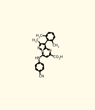 Cc1cccc(C)c1-c1c(C)nn2c(Nc3ccc(C#N)cc3)cc(C(=O)O)nc12